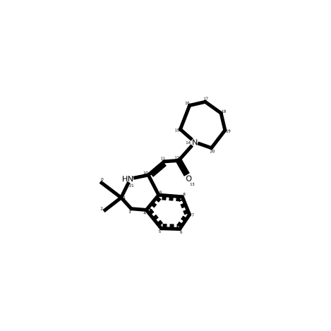 CC1(C)Cc2ccccc2/C(=C\C(=O)N2CCCCCC2)N1